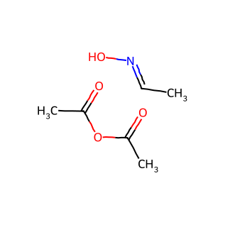 C/C=N/O.CC(=O)OC(C)=O